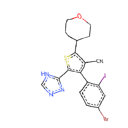 N#Cc1c(C2CCOCC2)sc(-c2nnc[nH]2)c1-c1ccc(Br)cc1I